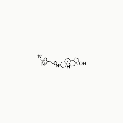 CN(C)Cc1ncc(CCON=C2CCC3(C)C(CCC4C5CCC(O)C5(C)CC[C@@H]43)C2)o1